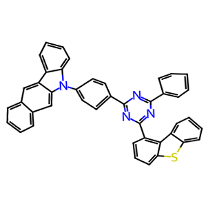 c1ccc(-c2nc(-c3ccc(-n4c5ccccc5c5cc6ccccc6cc54)cc3)nc(-c3cccc4sc5ccccc5c34)n2)cc1